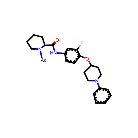 CC(=O)N1CCCCC1C(=O)Nc1ccc(OC2CCN(c3ccccc3)CC2)c(F)c1